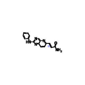 NC(=O)/C=C/c1ccc2nc(Nc3ccccc3)ncc2n1